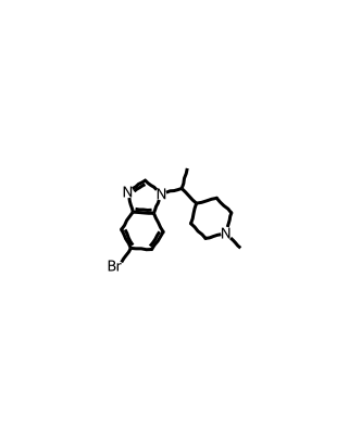 CC(C1CCN(C)CC1)n1cnc2cc(Br)ccc21